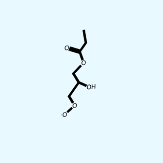 CCC(=O)OCC(O)CO[O]